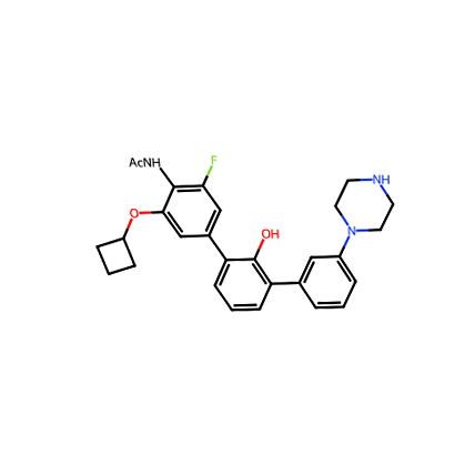 CC(=O)Nc1c(F)cc(-c2cccc(-c3cccc(N4CCNCC4)c3)c2O)cc1OC1CCC1